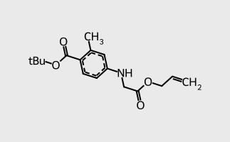 C=CCOC(=O)CNc1ccc(C(=O)OC(C)(C)C)c(C)c1